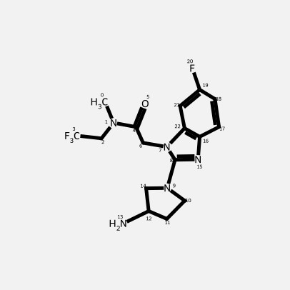 CN(CC(F)(F)F)C(=O)Cn1c(N2CCC(N)C2)nc2ccc(F)cc21